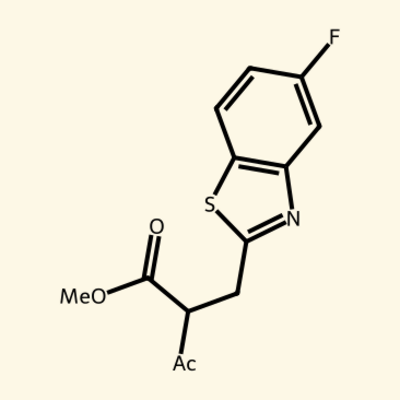 COC(=O)C(Cc1nc2cc(F)ccc2s1)C(C)=O